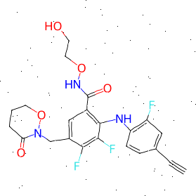 C#Cc1ccc(Nc2c(C(=O)NOCCO)cc(CN3OCCCC3=O)c(F)c2F)c(F)c1